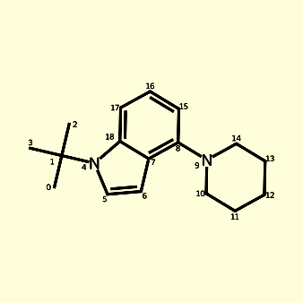 CC(C)(C)n1ccc2c(N3CCCCC3)cccc21